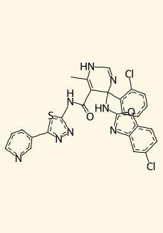 CC1=C(C(=O)Nc2nnc(-c3cccnc3)s2)C(Nc2nc3cc(Cl)ccc3o2)(c2ccccc2Cl)N=CN1